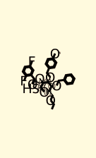 CCOC[C@H]1O[C@@H](S)[C@@H](OC(=O)c2cc(F)ccc2F)[C@@H](OCc2ccc(OC)cc2)[C@@H]1OCc1ccccc1